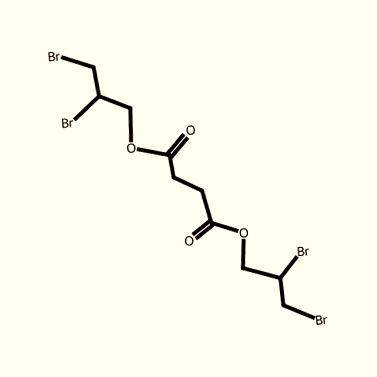 O=C(CCC(=O)OCC(Br)CBr)OCC(Br)CBr